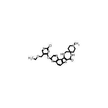 CCOCc1cnc(Cl)nc1Oc1cnc2c(ccc3sc4c(c32)NCC2(CCN(C)CC2)NC4=O)n1